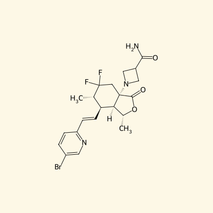 C[C@H]1OC(=O)[C@]2(N3CC(C(N)=O)C3)CC(F)(F)[C@@H](C)[C@H](/C=C/c3ccc(Br)cn3)[C@H]12